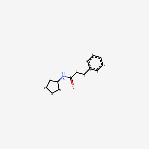 O=C(CCc1ccccc1)NC1CCCC1